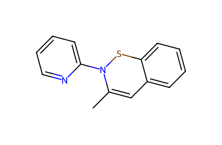 CC1=Cc2ccccc2SN1c1ccccn1